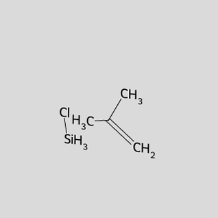 C=C(C)C.[SiH3]Cl